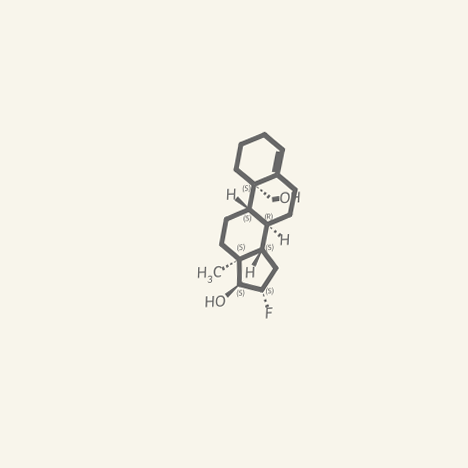 C[C@]12CC[C@H]3[C@@H](CCC4=CCCC[C@@]43CO)[C@@H]1C[C@H](F)[C@H]2O